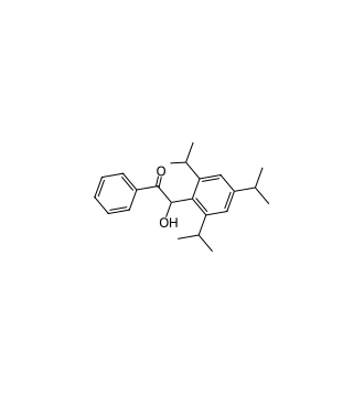 CC(C)c1cc(C(C)C)c(C(O)C(=O)c2ccccc2)c(C(C)C)c1